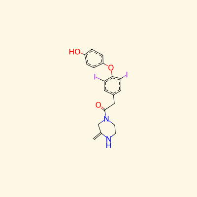 C=C1CN(C(=O)Cc2cc(I)c(Oc3ccc(O)cc3)c(I)c2)CCN1